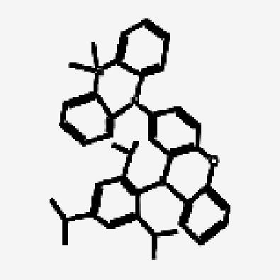 CC(C)c1cc(C(C)C)c(B2c3ccccc3Oc3ccc(N4c5ccccc5[Si](C)(C)c5ccccc54)cc32)c(C(C)C)c1